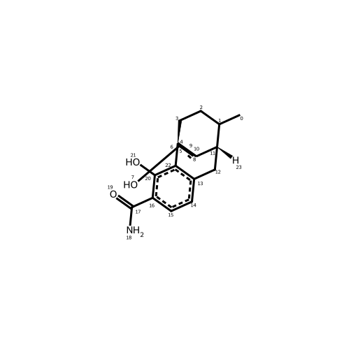 CC1CC[C@]23CC(O)C=CC2[C@H]1Cc1ccc(C(N)=O)c(O)c13